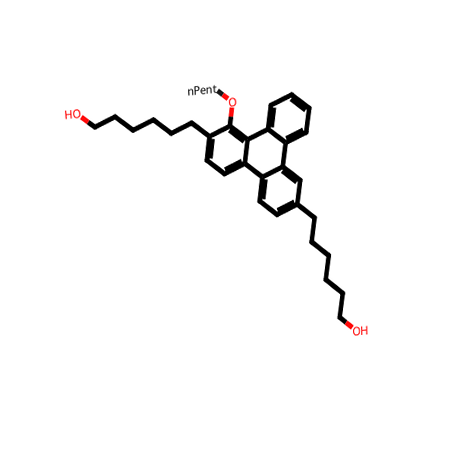 CCCCCOc1c(CCCCCCO)ccc2c3ccc(CCCCCCO)cc3c3ccccc3c12